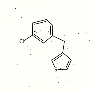 Clc1cccc(Cc2ccsc2)c1